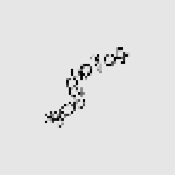 CN(C(=O)c1ccc(C(F)(F)F)cc1)c1ccc(Oc2ccc3cc(C(=O)N4CCN(C(=O)OC(C)(C)C)CC4)n(C)c3c2)nc1